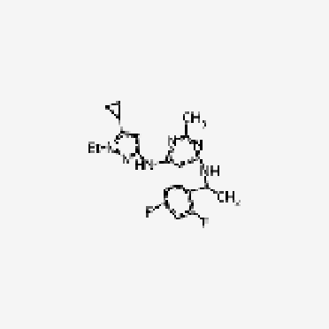 CCn1nc(Nc2cc(NC(C)c3ccc(F)cc3F)nc(C)n2)cc1C1CC1